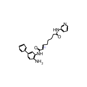 Nc1ccc(-c2ccccc2)cc1NC(=O)/C=C/CCCCC(=O)Nc1cccnc1